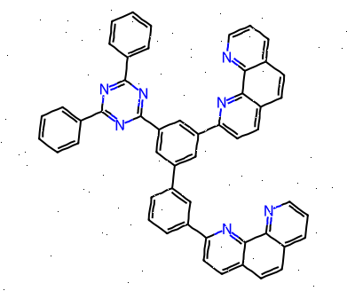 c1ccc(-c2nc(-c3ccccc3)nc(-c3cc(-c4cccc(-c5ccc6ccc7cccnc7c6n5)c4)cc(-c4ccc5ccc6cccnc6c5n4)c3)n2)cc1